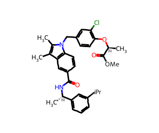 COC(=O)[C@H](C)Oc1ccc(Cn2c(C)c(C)c3cc(C(=O)N[C@@H](C)c4cccc(C(C)C)c4)ccc32)cc1Cl